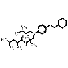 CC(C)CCN(CC(C)(C)NC(=O)C(N)CC(C)C)c1ccc(CCC2CCCCC2)cc1